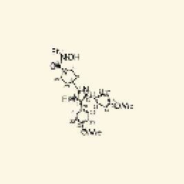 CCN(O)C(=O)N1CCC(c2nc(-c3ccc(OC)cc3)c(-c3ccc(OC)cc3)n2CC)CC1